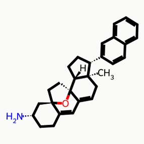 C[C@]12CC=C3C=C4CC[C@H](N)C[C@]45CC[C@]3(O5)[C@@H]1CC[C@@H]2c1ccc2ccccc2c1